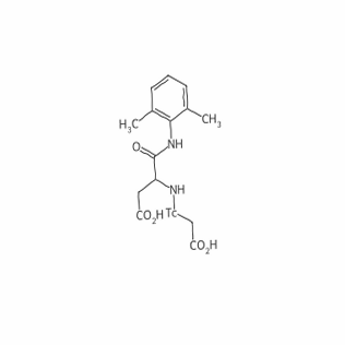 Cc1cccc(C)c1NC(=O)C(CC(=O)O)[NH][Tc][CH2]C(=O)O